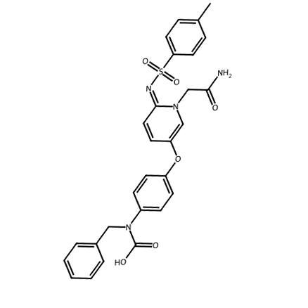 Cc1ccc(S(=O)(=O)/N=c2/ccc(Oc3ccc(N(Cc4ccccc4)C(=O)O)cc3)cn2CC(N)=O)cc1